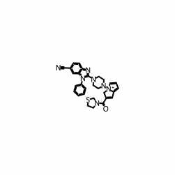 N#Cc1ccc2nc(N3CCN([N@@+]45C=CC=C4C=C(C(=O)N4CCSC4)C5)CC3)n(-c3ccccc3)c2c1